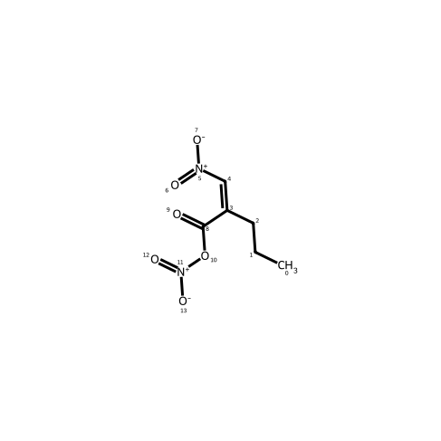 CCCC(=C[N+](=O)[O-])C(=O)O[N+](=O)[O-]